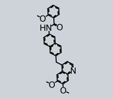 COc1cc2nccc(Cc3ccc4cc(NC(=O)c5ccccc5OC)ccc4c3)c2cc1OC